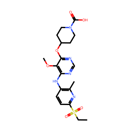 CCS(=O)(=O)c1ccc(Nc2ncnc(OC3CCN(C(=O)O)CC3)c2OC)c(C)n1